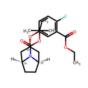 CCOC(=O)c1cc(O[C@H]2C[C@H]3CC[C@@H](C2)N3C(=O)OC(C)(C)C)ccc1F